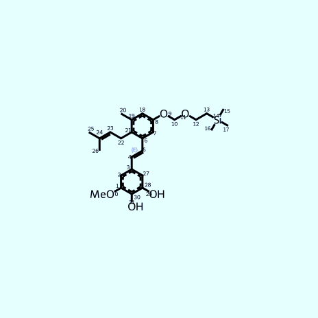 COc1cc(/C=C/c2cc(OCOCC[Si](C)(C)C)cc(C)c2CC=C(C)C)cc(O)c1O